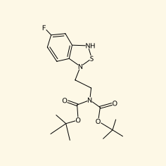 CC(C)(C)OC(=O)N(CCN1SNc2cc(F)ccc21)C(=O)OC(C)(C)C